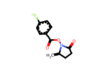 C=C1CCC(=O)N1OC(=O)c1ccc([18F])cc1